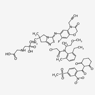 C#CCN1C(=O)COc2cc(F)c(/N=c3\snc4n3CC(C)(C)C4)cc21.CCc1cccc(C)c1N(C(=O)CCl)C(C)COC.CS(=O)(=O)c1ccc(C(=O)C2C(=O)CCCC2=O)c([N+](=O)[O-])c1.O=C(O)CNCP(=O)(O)O